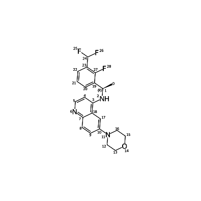 C[C@@H](Nc1ccnc2ccc(N3CCOCC3)cc12)c1cccc(C(F)F)c1F